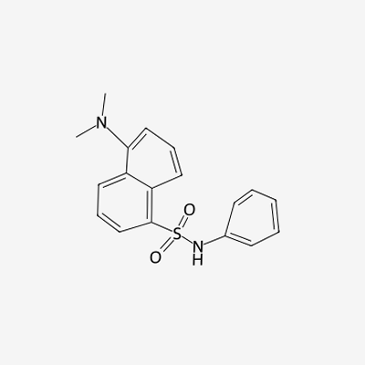 CN(C)c1cccc2c(S(=O)(=O)Nc3ccccc3)cccc12